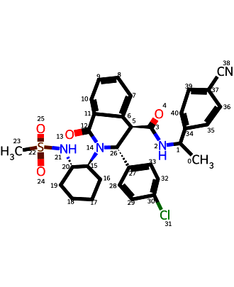 CC(NC(=O)[C@@H]1c2ccccc2C(=O)N([C@H]2CCCC[C@@H]2NS(C)(=O)=O)[C@H]1c1ccc(Cl)cc1)c1ccc(C#N)cc1